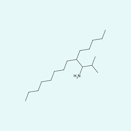 CCCCCCCCC(CCCCC)C(N)C(C)C